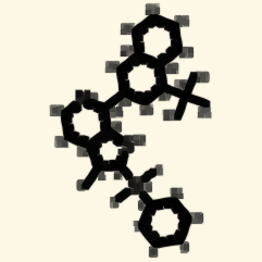 Cc1c([Si](C)(C)c2ccccc2)sc2c(-c3cc(C(C)(C)C)c4ccccc4c3)nccc12